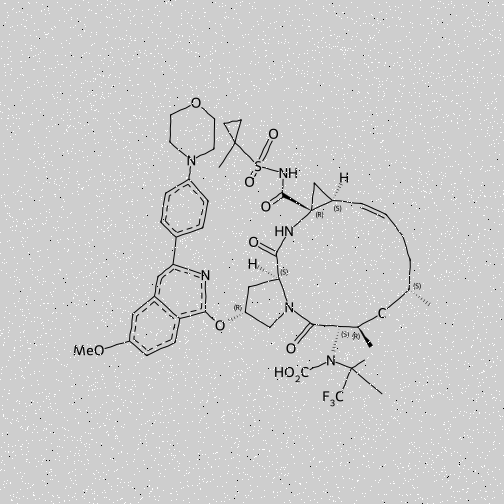 COc1ccc2c(O[C@@H]3C[C@H]4C(=O)N[C@]5(C(=O)NS(=O)(=O)C6(C)CC6)C[C@H]5C=CCC[C@H](C)C[C@@H](C)[C@H](N(C(=O)O)C(C)(C)C(F)(F)F)C(=O)N4C3)nc(-c3ccc(N4CCOCC4)cc3)cc2c1